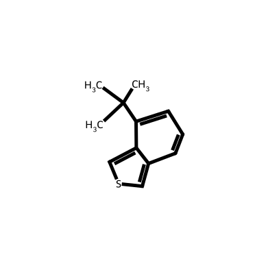 CC(C)(C)c1cccc2cscc12